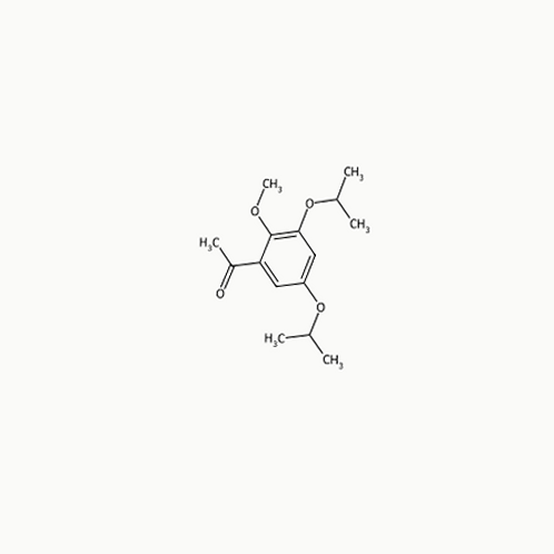 COc1c(OC(C)C)cc(OC(C)C)cc1C(C)=O